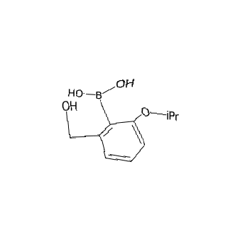 CC(C)Oc1cccc(CO)c1B(O)O